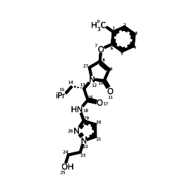 Cc1ccccc1OC1=CC(=O)N([C@@H](CC(C)C)C(=O)Nc2ccn(CCO)n2)C1